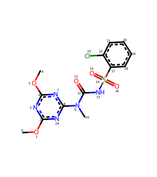 COc1nc(OC)nc(N(C)C(=O)NS(=O)(=O)c2ccccc2Cl)n1